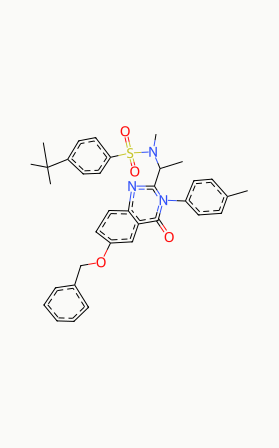 Cc1ccc(-n2c(C(C)N(C)S(=O)(=O)c3ccc(C(C)(C)C)cc3)nc3ccc(OCc4ccccc4)cc3c2=O)cc1